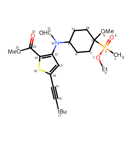 CCOP(C)(=O)C1(OC)CCC(N(C=O)c2cc(C#CC(C)(C)C)sc2C(=O)OC)CC1